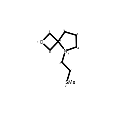 CSCCN1CCCC12COC2